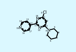 Clc1cc(N2CCCCC2)nc(-c2ccncc2)n1